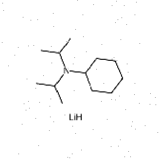 CC(C)N(C(C)C)C1CCCCC1.[LiH]